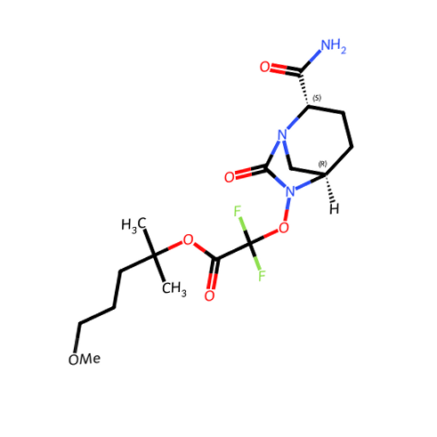 COCCCC(C)(C)OC(=O)C(F)(F)ON1C(=O)N2C[C@H]1CC[C@H]2C(N)=O